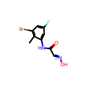 Cc1c(Br)cc(F)cc1NC(=O)/C=N/O